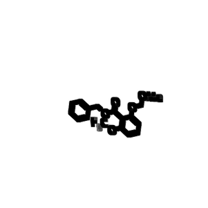 COCOc1cccc(OC(F)(F)F)c1C(=O)OCc1ccccc1